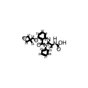 CC(NC(=O)O)c1nc2cccc(OCC3(C)COC3)c2c(=O)n1-c1ccccc1